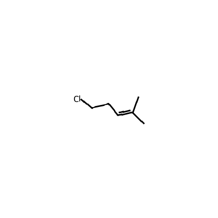 CC(C)=CCCCl